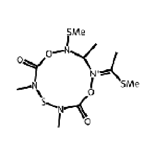 CSC(C)=[N+]1OC(=O)N(C)SN(C)C(=O)ON(SC)C1C